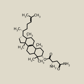 CC(C)=CCC[C@@H](C)[C@H]1CC[C@@]2(C)C3=C(CC[C@]12C)[C@@]1(C)CC[C@H](OC(=O)[C@@H](N)CC(N)=O)C(C)(C)C1CC3